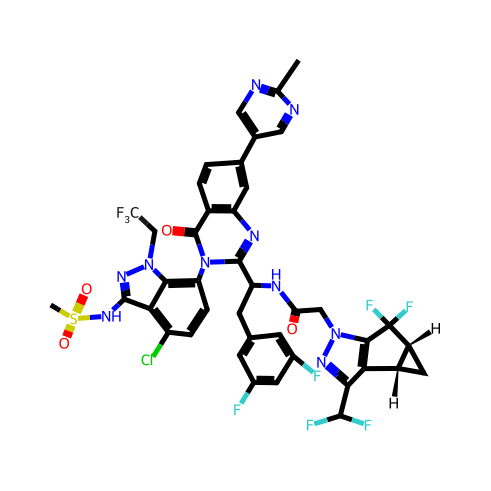 Cc1ncc(-c2ccc3c(=O)n(-c4ccc(Cl)c5c(NS(C)(=O)=O)nn(CC(F)(F)F)c45)c(C(Cc4cc(F)cc(F)c4)NC(=O)Cn4nc(C(F)F)c5c4C(F)(F)[C@@H]4C[C@H]54)nc3c2)cn1